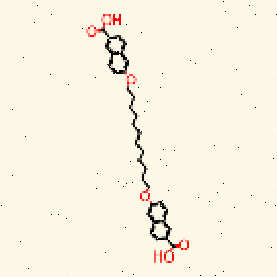 O=C(O)c1ccc2cc(OCCCCCCCCCCCCOc3ccc4cc(C(=O)O)ccc4c3)ccc2c1